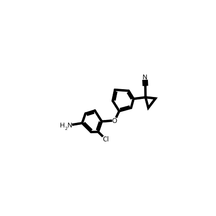 N#CC1(c2cccc(Oc3ccc(N)cc3Cl)c2)CC1